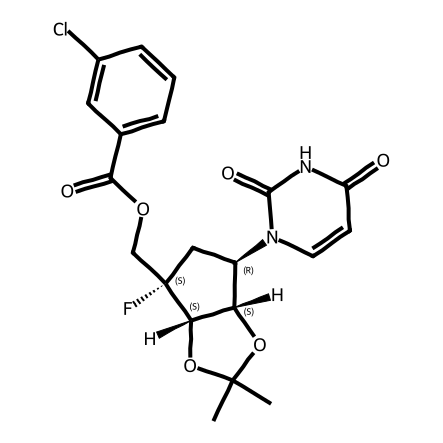 CC1(C)O[C@H]2[C@H](n3ccc(=O)[nH]c3=O)C[C@](F)(COC(=O)c3cccc(Cl)c3)[C@H]2O1